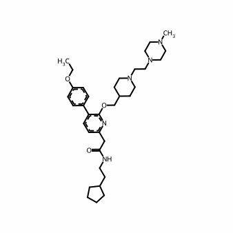 CCOc1ccc(-c2ccc(CC(=O)NCCC3CCCC3)nc2OCC2CCN(CCN3CCN(C)CC3)CC2)cc1